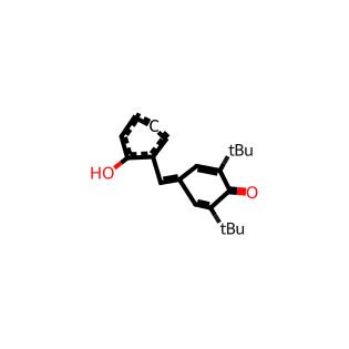 CC(C)(C)C1=CC(=Cc2ccccc2O)C=C(C(C)(C)C)C1=O